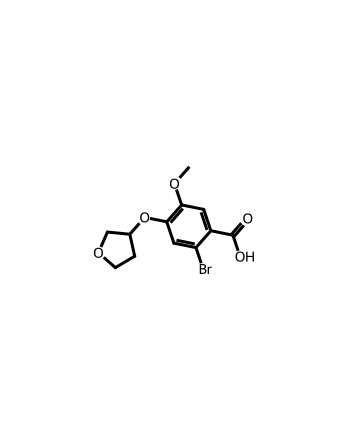 COc1cc(C(=O)O)c(Br)cc1OC1CCOC1